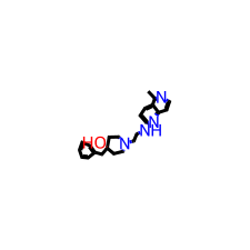 Cc1nccc2nc(NCCN3CCC(O)(Cc4ccccc4)CC3)ccc12